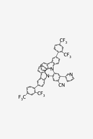 N#Cc1cc(-n2c3ccccc3c3cc(-c4ccc(C(F)(F)F)cc4C(F)(F)F)ccc32)c(-n2c3ccccc3c3cc(-c4ccc(C(F)(F)F)cc4C(F)(F)F)ccc32)cc1-c1cccnc1